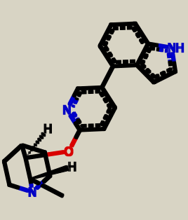 C[C@H]1[C@H](Oc2ccc(-c3cccc4[nH]ccc34)cn2)C2CCN1CC2